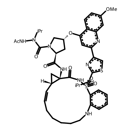 COc1ccc2c(O[C@@H]3C[C@@H](C(=O)N[C@]45C[C@H]4/C=C\CCCCCNc4ccccc4S(=O)(=O)NC5=O)N(C(=O)N(NC(C)=O)C(C)C)C3)cc(-c3csc(NC(C)C)n3)nc2c1